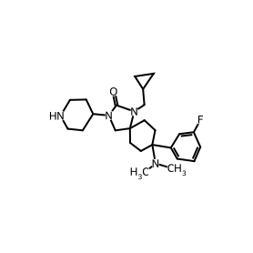 CN(C)C1(c2cccc(F)c2)CCC2(CC1)CN(C1CCNCC1)C(=O)N2CC1CC1